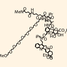 CC[C@@]1(O)C(=O)CCc2c1cc1n(c2=O)Cc2c-1nc1ccccc1c2CCN(C(=O)OCc1ccc(NC(=O)[C@H](C)NC(=O)[C@@H](NC(=O)[C@H](CCCCNC(=O)CCC(=O)NC)NC(=O)CCOCCOCCOCCOCCOCCOCCOCCOC)C(C)C)c(O[C@@H]2O[C@H](C(=O)O)[C@@H](O)[C@H](O)[C@H]2O)c1)C(C)C